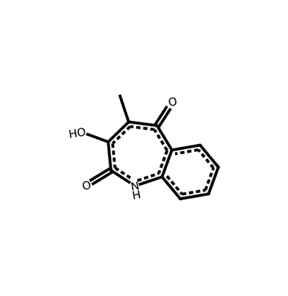 Cc1c(O)c(=O)[nH]c2ccccc2c1=O